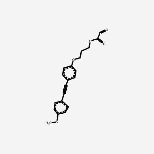 CSc1ccc(C#Cc2ccc(OCCCOC(=O)C=O)cc2)cc1